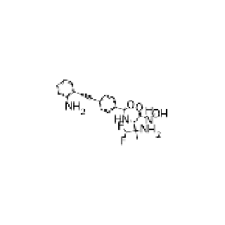 C[C@@](N)(C(F)F)[C@H](NC(=O)c1ccc(C#Cc2ccccc2N)cc1)C(=O)NO